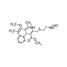 COC(=O)C1=C(C)NC(CSCCNC=O)=C(C(=O)OC)C1c1ccccc1SC